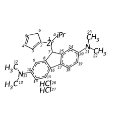 C[CH](C)[Zr]([C]1=CC=CC1)[CH]1c2cc(N(C)C)ccc2-c2ccc(N(C)C)cc21.Cl.Cl